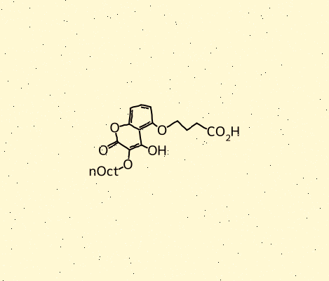 CCCCCCCCOc1c(O)c2c(OCCCC(=O)O)cccc2oc1=O